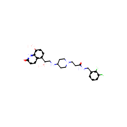 O=C(CCN1CCC(NC[C@H](O)c2ccc(O)c3[nH]c(=O)ccc23)CC1)NCc1cccc(Cl)c1Cl